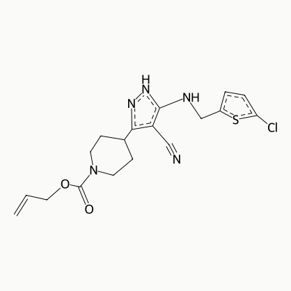 C=CCOC(=O)N1CCC(c2n[nH]c(NCc3ccc(Cl)s3)c2C#N)CC1